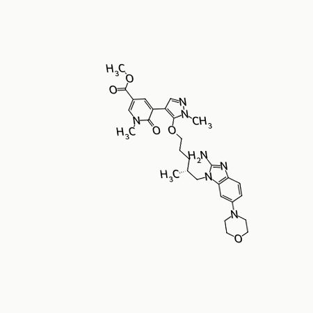 COC(=O)c1cc(-c2cnn(C)c2OCCC[C@@H](C)Cn2c(N)nc3ccc(N4CCOCC4)cc32)c(=O)n(C)c1